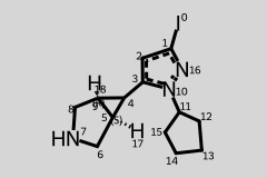 Ic1cc(C2[C@H]3CNC[C@@H]23)n(C2CCCC2)n1